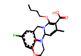 CCCCOC1=C(C(=O)O)C(C)=CC(N2CCOCC2)N1Cc1cccc(F)c1